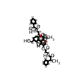 C[C@H](C(=O)NCCC(=O)OC1=CC[C@@]2(OC(=O)CCNC(=O)[C@@H](O)c3ccccc3)[C@H]3Cc4ccc(CO)c5c4[C@@]2(CCN3C)[C@H]1O5)c1ccccc1